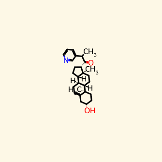 CC(C(=O)[C@H]1CC[C@H]2[C@@H]3CC=C4C[C@@H](O)CC[C@]4(C)[C@H]3CC[C@]12C)c1cccnc1